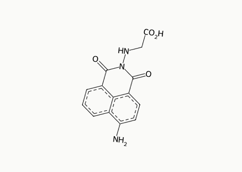 Nc1ccc2c3c(cccc13)C(=O)N(NCC(=O)O)C2=O